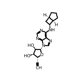 C#C[C@H]1O[C@@H](n2cnc3c(N[C@H]4C[C@H]5CCC[C@H]54)ncnc32)[C@H](O)[C@@H]1O